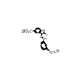 O=C1Nc2ccc(C(=O)O)cc2/C1=N/Nc1cccc(C(=O)O)c1